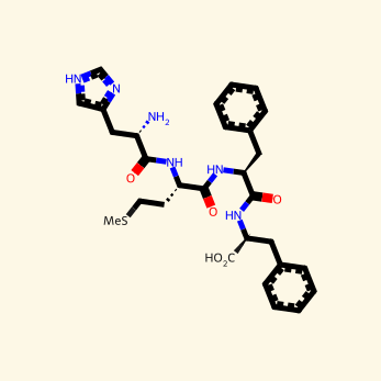 CSCC[C@H](NC(=O)[C@@H](N)Cc1c[nH]cn1)C(=O)N[C@@H](Cc1ccccc1)C(=O)N[C@@H](Cc1ccccc1)C(=O)O